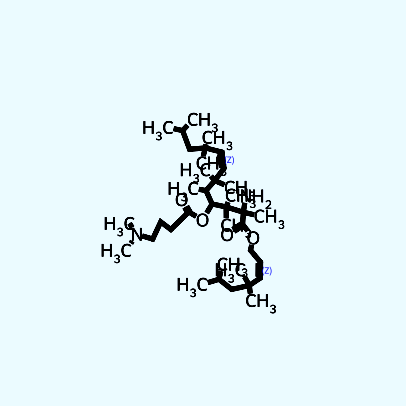 CC(C)CC(C)(C)/C=C\COC(=O)C(C)(N)C(C)(C)C(OC(=O)CCCN(C)C)C(C)C(C)(C)/C=C\C(C)(C)CC(C)C